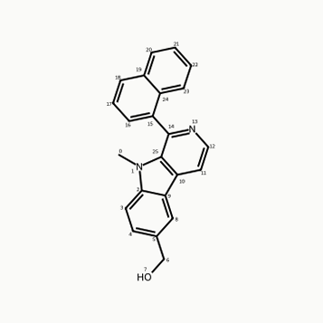 Cn1c2ccc(CO)cc2c2ccnc(-c3cccc4ccccc34)c21